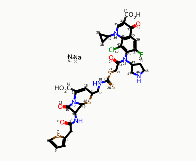 O=C(Cc1cccs1)NC1C(=O)N2C(C(=O)O)=CC(CNC(=S)SCC(=O)N(c3c(F)cc4c(=O)c(C(=O)O)cn(C5CC5)c4c3Cl)C3CCNC3)SC12.[Na].[Na]